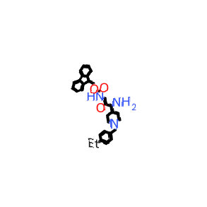 CCc1ccc(CN2CCC(C(N)C(=O)CNC(=O)OCC3c4ccccc4-c4ccccc43)CC2)cc1